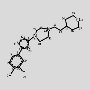 Fc1ccc(-c2nsc(N3CCN(CCC4CCOCC4)CC3)n2)cc1F